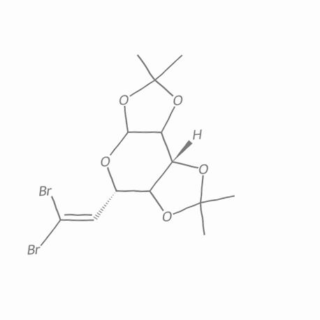 CC1(C)OC2O[C@@H](C=C(Br)Br)C3OC(C)(C)O[C@H]3C2O1